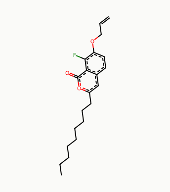 C=CCOc1ccc2cc(CCCCCCCCC)oc(=O)c2c1F